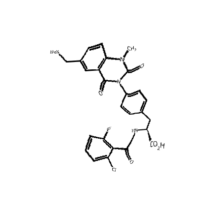 CNCc1ccc2c(c1)c(=O)n(-c1ccc(C[C@H](NC(=O)c3c(F)cccc3Cl)C(=O)O)cc1)c(=O)n2C